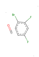 C=O.Fc1ccc(Br)c(F)c1